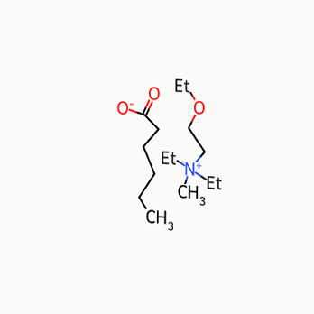 CCCCCC(=O)[O-].CCOCC[N+](C)(CC)CC